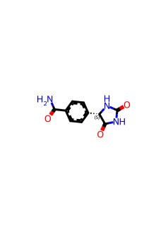 NC(=O)c1ccc([C@@H]2NC(=O)NC2=O)cc1